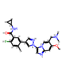 COc1cc2ncc(-n3cc(-c4cc(C(=O)NC5CC5)c(F)cc4C)cn3)n2cc1CN(C)C